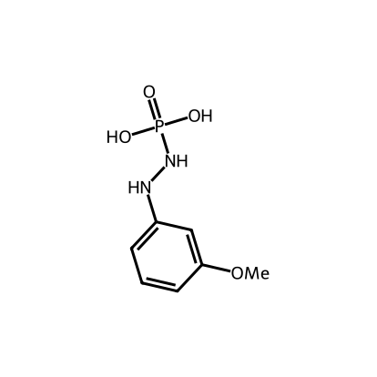 COc1cccc(NNP(=O)(O)O)c1